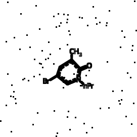 CCCn1cc(Br)cc(C)c1=O